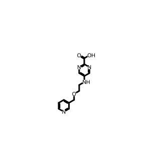 O=C(O)c1ncc(NCCOCc2cccnc2)cn1